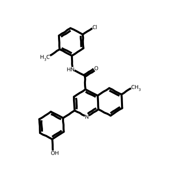 Cc1ccc2nc(-c3cccc(O)c3)cc(C(=O)Nc3cc(Cl)ccc3C)c2c1